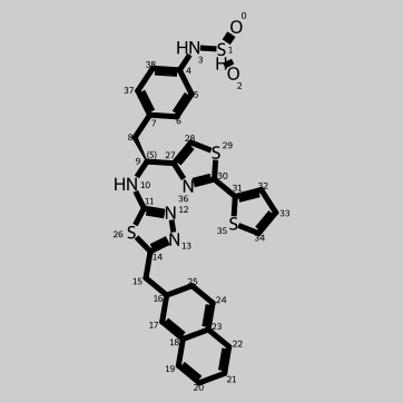 O=[SH](=O)Nc1ccc(C[C@H](Nc2nnc(CC3C=c4ccccc4=CC3)s2)c2csc(-c3cccs3)n2)cc1